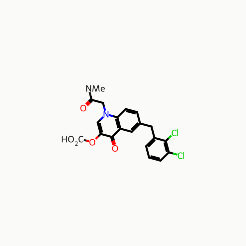 CNC(=O)Cn1cc(OC(=O)O)c(=O)c2cc(Cc3cccc(Cl)c3Cl)ccc21